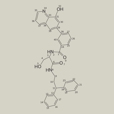 O=C(NC(CO)C(=O)NCCC(c1ccccc1)c1ccccc1)c1cccc(-c2cc(O)c3ncccc3c2)c1